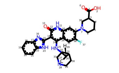 O=C(O)C1CCCN(c2cc3[nH]c(=O)c(-c4nc5ccccc5[nH]4)c(N[C@H]4CN5CCC4CC5)c3cc2F)C1